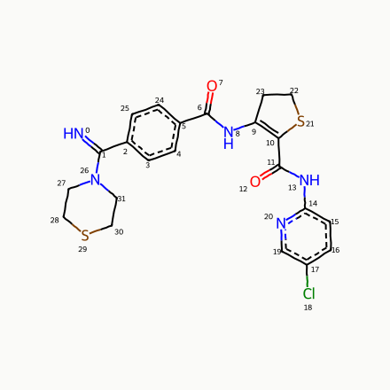 N=C(c1ccc(C(=O)NC2=C(C(=O)Nc3ccc(Cl)cn3)SCC2)cc1)N1CCSCC1